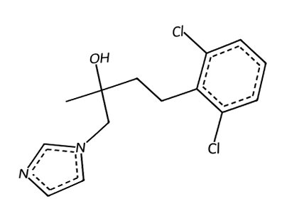 CC(O)(CCc1c(Cl)cccc1Cl)Cn1ccnc1